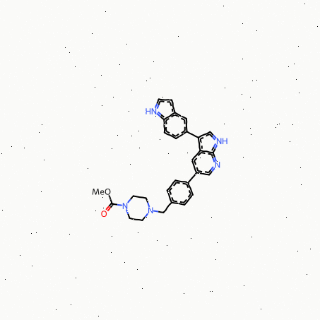 COC(=O)N1CCN(Cc2ccc(-c3cnc4[nH]cc(-c5ccc6[nH]ccc6c5)c4c3)cc2)CC1